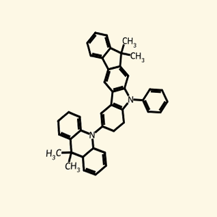 CC1(C)c2ccccc2-c2cc3c4c(n(-c5ccccc5)c3cc21)CCC(N1C2=CCCC=C2C(C)(C)C2C=CC=CC21)=C4